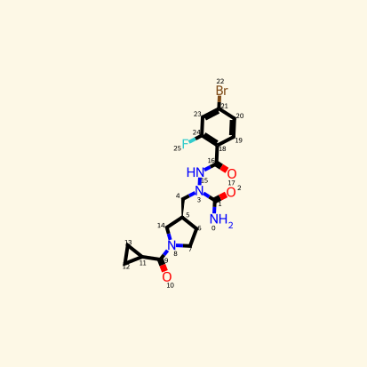 NC(=O)N(C[C@H]1CCN(C(=O)C2CC2)C1)NC(=O)c1ccc(Br)cc1F